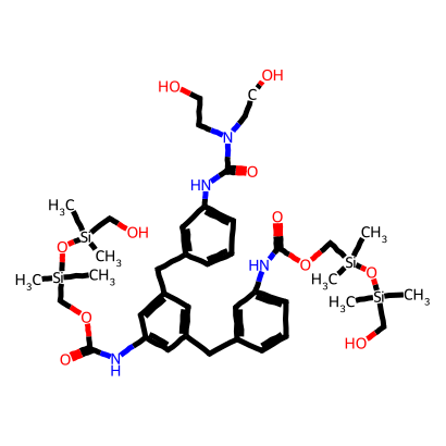 C[Si](C)(CO)O[Si](C)(C)COC(=O)Nc1cccc(Cc2cc(Cc3cccc(NC(=O)N(CCO)CCO)c3)cc(NC(=O)OC[Si](C)(C)O[Si](C)(C)CO)c2)c1